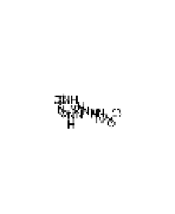 O=C(c1ccccc1)c1cnc(N2CCN(c3ncnc(Nc4cnn(CC5CNCCO5)c4)n3)CC2)nc1